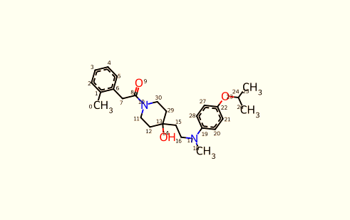 Cc1ccccc1CC(=O)N1CCC(O)(CCN(C)c2ccc(OC(C)C)cc2)CC1